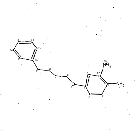 Nc1ccc(OCCCCc2ccccc2)cc1N